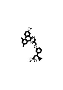 COC(=O)CC(c1cccc(OCc2cnc(-c3cc(OC)ccc3F)c(-c3cc(C)cc(C)c3)n2)c1)C1CC1